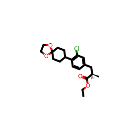 CCOC(=O)[C@H](C)Cc1ccc(C2CCC3(CC2)OCCO3)c(Cl)c1